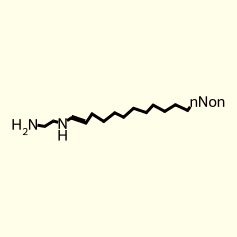 CCCCCCCCCCCCCCCCCCCC=CNCCN